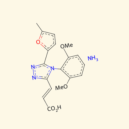 COc1cccc(OC)c1-n1c(/C=C/C(=O)O)nnc1-c1ccc(C)o1.N